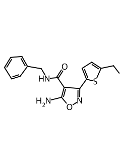 CCc1ccc(-c2noc(N)c2C(=O)NCc2ccccc2)s1